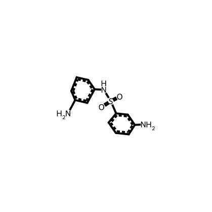 Nc1cccc(NS(=O)(=O)c2cccc(N)c2)c1